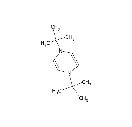 CC(C)(C)N1C=CN(C(C)(C)C)C=C1